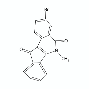 Cn1c2c(c3ccc(Br)cc3c1=O)C(=O)c1ccccc1-2